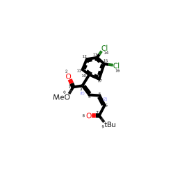 COC(=O)/C(=C/C=C\C(=O)C(C)(C)C)c1ccc(Cl)c(Cl)c1